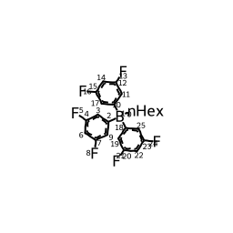 CCCCCC[B-](c1cc(F)cc(F)c1)(c1cc(F)cc(F)c1)c1cc(F)cc(F)c1